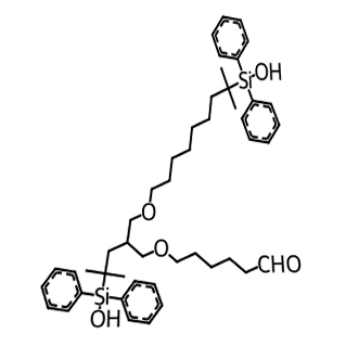 CC(C)(CCCCCCCOCC(COCCCCCC=O)CC(C)(C)[Si](O)(c1ccccc1)c1ccccc1)[Si](O)(c1ccccc1)c1ccccc1